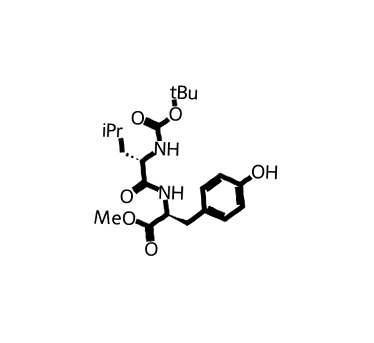 COC(=O)[C@H](Cc1ccc(O)cc1)NC(=O)[C@H](CC(C)C)NC(=O)OC(C)(C)C